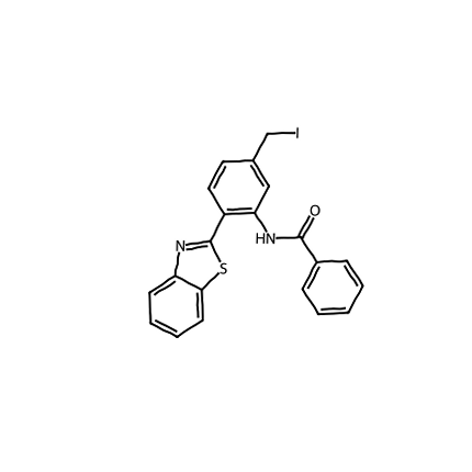 O=C(Nc1cc(CI)ccc1-c1nc2ccccc2s1)c1ccccc1